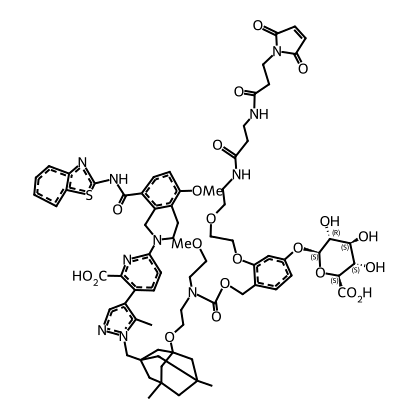 COCCN(CCOC12CC3(C)CC(C)(CC(Cn4ncc(-c5ccc(N6CCc7c(OC)ccc(C(=O)Nc8nc9ccccc9s8)c7C6)nc5C(=O)O)c4C)(C3)C1)C2)C(=O)OCc1ccc(O[C@@H]2O[C@H](C(=O)O)[C@@H](O)[C@H](O)[C@H]2O)cc1OCCOCCNC(=O)CCNC(=O)CCN1C(=O)C=CC1=O